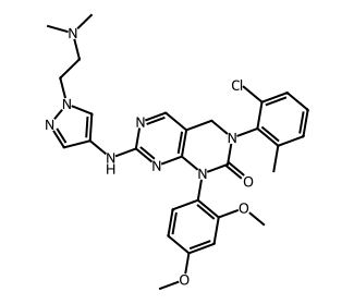 COc1ccc(N2C(=O)N(c3c(C)cccc3Cl)Cc3cnc(Nc4cnn(CCN(C)C)c4)nc32)c(OC)c1